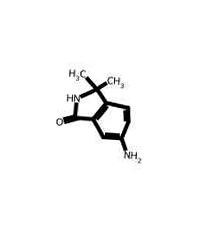 CC1(C)NC(=O)c2cc(N)ccc21